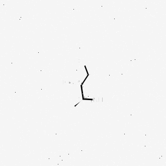 CCCC[C@@H](O)[C@H](C)N